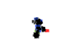 O[C@H]1CCN(c2nc(C(F)(F)c3ccccc3)nc3nn(Cc4ccncc4C4(C(F)(F)F)N=N4)nc23)C1